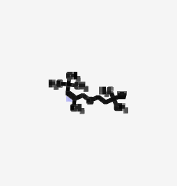 C/C(=C/C(C)(C)C)COCC[C](C)(C)[W]